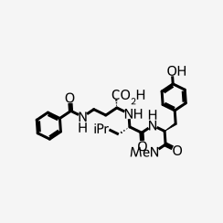 CNC(=O)[C@H](Cc1ccc(O)cc1)NC(=O)[C@H](CC(C)C)N[C@H](CCNC(=O)c1ccccc1)C(=O)O